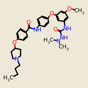 CCCCN1CCC(Oc2ccc(C(=O)Nc3ccc(Oc4cc(NC(=O)NN(C)C)cc(OC)c4)cc3)cc2)CC1